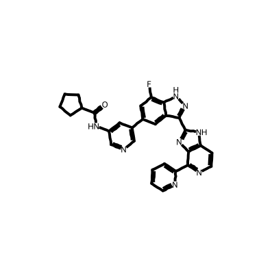 O=C(Nc1cncc(-c2cc(F)c3[nH]nc(-c4nc5c(-c6ccccn6)nccc5[nH]4)c3c2)c1)C1CCCC1